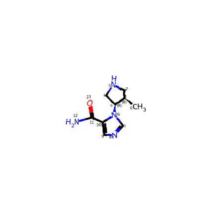 C[C@@H]1CNC[C@@H]1n1cncc1C(N)=O